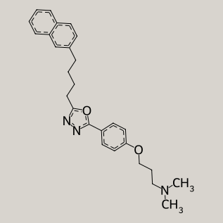 CN(C)CCCOc1ccc(-c2nnc(CCCCc3ccc4ccccc4c3)o2)cc1